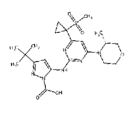 C[C@@H]1COCCN1c1cc(C2(S(C)(=O)=O)CC2)nc(Nc2cc(C(C)(C)C)nn2C(=O)O)n1